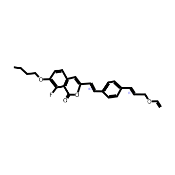 C=COC/C=C/c1ccc(/C=C/c2cc3ccc(OCCCC)c(F)c3c(=O)o2)cc1